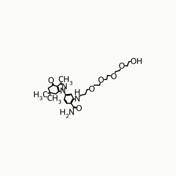 Cc1nn(-c2ccc(C(N)=O)c(NCCCOCCOCCOCCOCCO)c2)c2c1C(=O)CC(C)(C)C2